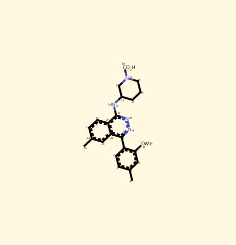 COc1cc(C)ccc1-c1nnc(NC2CCCN(C(=O)O)C2)c2ccc(C)cc12